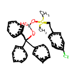 CS(C)(Cc1ccc(Cl)cc1)OB(O)OC(c1ccccc1)(c1ccccc1)c1ccccc1